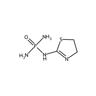 NP(N)(=O)NC1=NCCS1